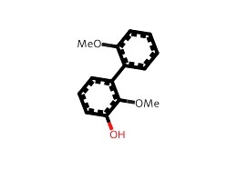 COc1ccccc1-c1cccc(O)c1OC